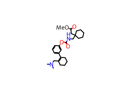 COC(=O)CC1(CNC(=O)Oc2cccc(C3=C(CN(C)C)CCCC3)c2)CCCCC1